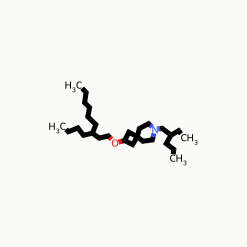 CCCCCCC(CCCC)CCOC1CC2(CCN(CC(CC)CCC)CC2)C1